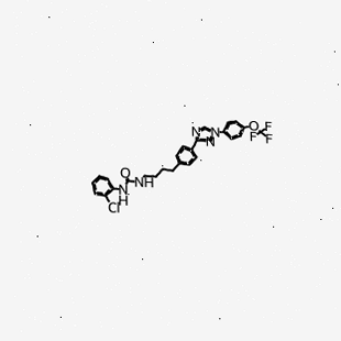 O=C(NCCCCc1ccc(-c2ncn(-c3ccc(OC(F)(F)F)cc3)n2)cc1)Nc1ccccc1Cl